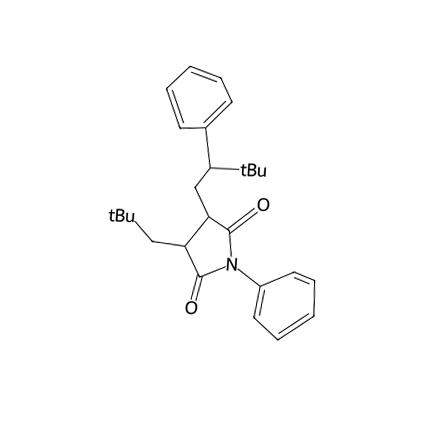 CC(C)(C)CC1C(=O)N(c2ccccc2)C(=O)C1CC(c1ccccc1)C(C)(C)C